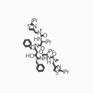 CC(C)c1nc(CN(C)C(=O)N[C@H](C(=O)N[C@@H](Cc2ccccc2)C[C@H](O)[C@H](Cc2ccccc2)NC(=O)[C@@H](NC(=O)N(C)Cc2csc(C(C)C)n2)C(C)C)C(C)C)cs1